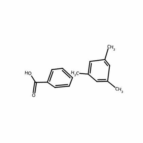 Cc1cc(C)cc(C)c1.O=C(O)c1ccccc1